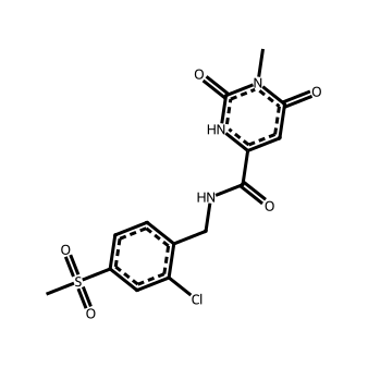 Cn1c(=O)cc(C(=O)NCc2ccc(S(C)(=O)=O)cc2Cl)[nH]c1=O